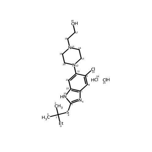 CCC(C)(C)Sc1nc2cc(Cl)c(N3CCN(CCO)CC3)cc2[nH]1.Cl.Cl